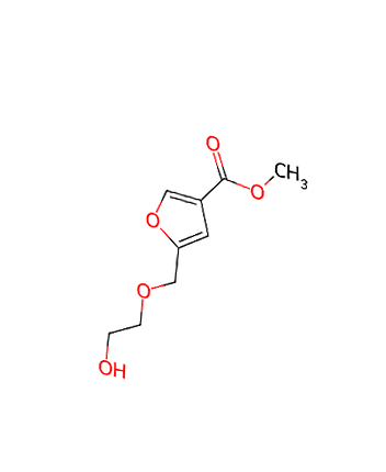 COC(=O)c1coc(COCCO)c1